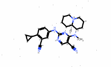 CN(c1nc(Nc2ccc(C3CC3)c(C#N)c2)ncc1C#N)[C@H]1CCCN2CCCC[C@H]12